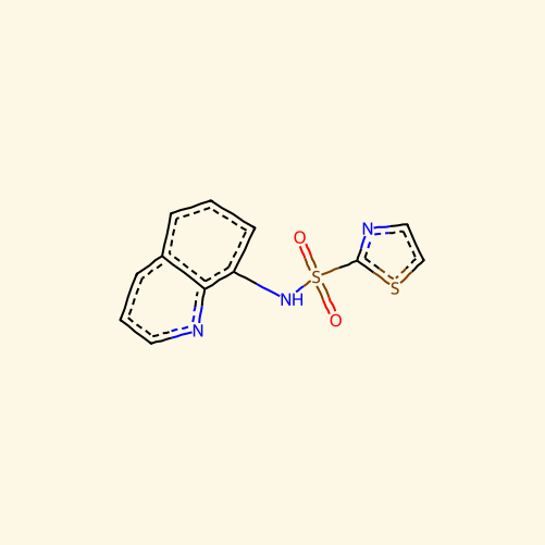 O=S(=O)(Nc1cccc2cccnc12)c1nccs1